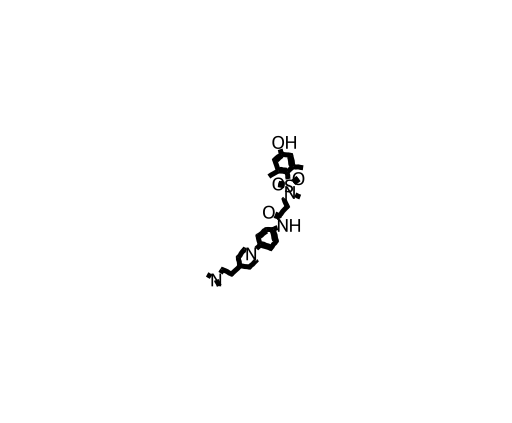 Cc1cc(O)cc(C)c1S(=O)(=O)N(C)CCC(=O)Nc1ccc(N2CCC(CCN(C)C)CC2)cc1